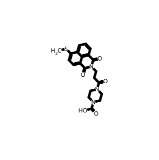 CSc1ccc2c3c(cccc13)C(=O)N(CCC(=O)N1CCN(C(=O)O)CC1)C2=O